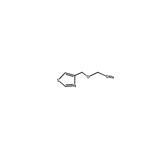 COCOCc1cscn1